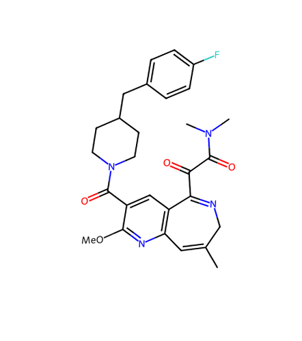 COc1nc2c(cc1C(=O)N1CCC(Cc3ccc(F)cc3)CC1)C(C(=O)C(=O)N(C)C)=NCC(C)=C2